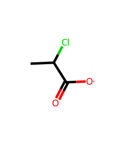 CC(Cl)C([O])=O